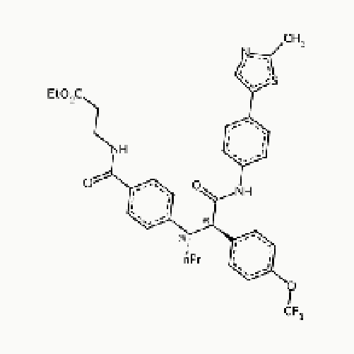 CCC[C@H](c1ccc(C(=O)NCCC(=O)OCC)cc1)[C@@H](C(=O)Nc1ccc(-c2cnc(C)s2)cc1)c1ccc(OC(F)(F)F)cc1